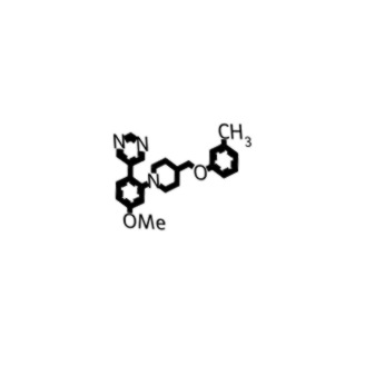 COc1ccc(-c2cncnc2)c(N2CCC(COc3cccc(C)c3)CC2)c1